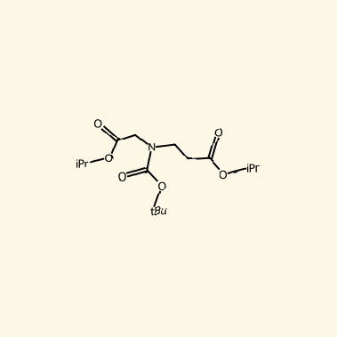 CC(C)OC(=O)CCN(CC(=O)OC(C)C)C(=O)OC(C)(C)C